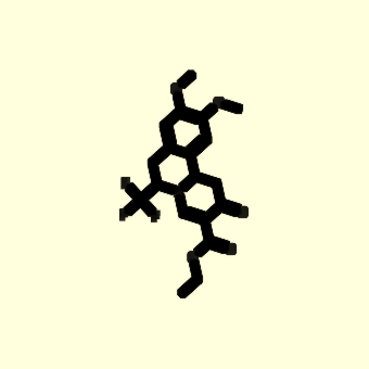 CCOC(=O)C1=CN2C(CC1=O)c1cc(OC)c(OC)cc1CC2C(F)(F)F